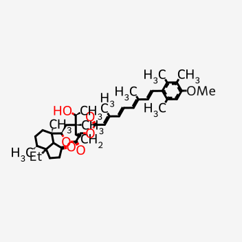 C=C[C@](C)(C[C@@H](OC(=O)COC(=O)/C=C(C)/C=C/C=C(C)/C=C/c1c(C)cc(OC)c(C)c1C)[C@]1(C)CC[C@@H](C)C2(CC)CCC(=O)C21)[C@H](C)O